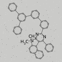 C[Si]1(C)c2ccc3ccccc3c2-c2c(-c3ccccc3)nc(-c3cccc(-c4cccc(-c5cc(-c6ccccc6)cc(-c6ccccc6)c5)c4)c3)nc21